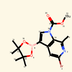 Cc1nc(Br)cc2c(B3OC(C)(C)C(C)(C)O3)cn(C(=O)OC(C)(C)C)c12